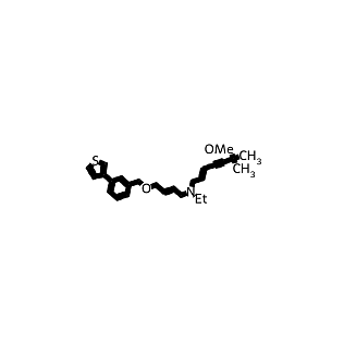 CCN(CC=CC#CC(C)(C)OC)CC=CCOCc1cccc(-c2ccsc2)c1